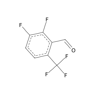 O=Cc1c(C(F)(F)F)ccc(F)c1F